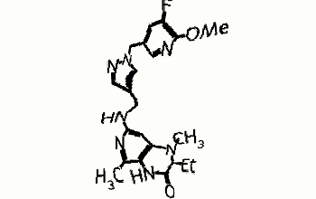 CC[C@H]1C(=O)Nc2c(cc(NCc3cnn(Cc4cnc(OC)c(F)c4)c3)nc2C)N1C